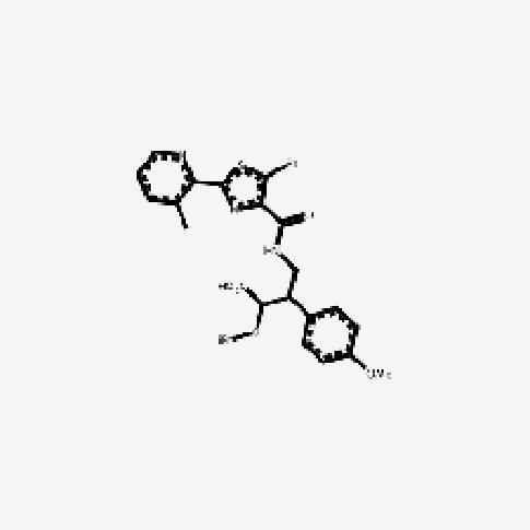 CCc1sc(-c2ncccc2C)nc1C(=O)NCC(c1ccc(OC)cc1)C(OC(C)C)C(=O)O